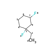 CCC1(F)CCCC(F)C1